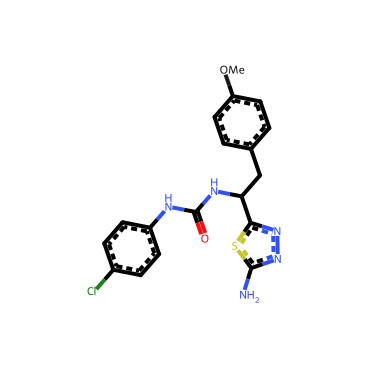 COc1ccc(CC(NC(=O)Nc2ccc(Cl)cc2)c2nnc(N)s2)cc1